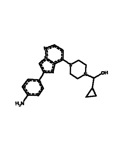 Nc1ccc(-c2cc3c(N4CCN(C(O)C5CC5)CC4)ccnn3c2)cc1